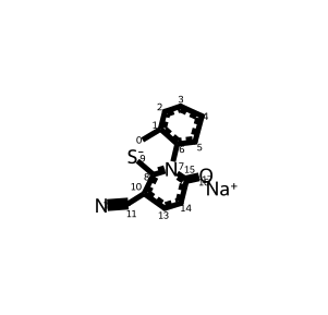 Cc1ccccc1-n1c([S-])c(C#N)ccc1=O.[Na+]